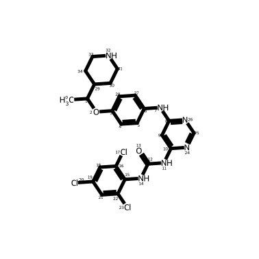 CC(Oc1ccc(Nc2cc(NC(=O)Nc3c(Cl)cc(Cl)cc3Cl)ncn2)cc1)C1CCNCC1